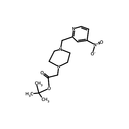 CC(C)(C)OC(=O)CN1CCN(Cc2cc([N+](=O)[O-])ccn2)CC1